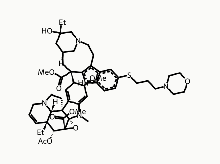 CC[C@]1(O)C[C@H]2CN(CCc3c([nH]c4ccc(SCCCN5CCOCC5)cc34)[C@@](C(=O)OC)(C3C=C4C(=CC3OC)N(C)[C@@]35O[C@]3(C(=O)OC)[C@H](OC(C)=O)[C@]3(CC)C=CCN6CC[C@]45[C@@H]63)C2)C1